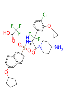 NC1CCN(C(=O)[C@@H](NS(=O)(=O)c2ccc3cc(OC4CCCC4)ccc3c2)C(F)(F)c2ccc(Cl)c(OC3CC3)c2)CC1.O=C(O)C(F)(F)F